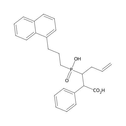 C=CCC(C(C(=O)O)c1ccccc1)P(=O)(O)CCCc1cccc2ccccc12